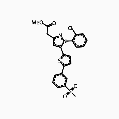 COC(=O)Cc1cc(-c2ccc(-c3cccc(S(C)(=O)=O)c3)s2)n(-c2ccccc2Cl)n1